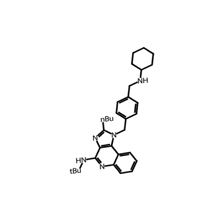 CCCCc1nc2c(NC(C)(C)C)nc3ccccc3c2n1Cc1ccc(CNC2CCCCC2)cc1